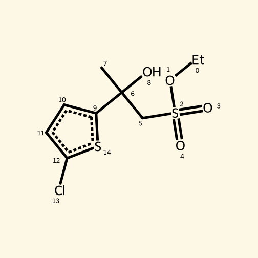 CCOS(=O)(=O)CC(C)(O)c1ccc(Cl)s1